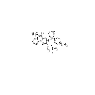 CCC(CC)C(=O)N(Cc1cc2ccccc2n(C)c1=O)CC1(N2CCN(C)CC2)CCCOC1